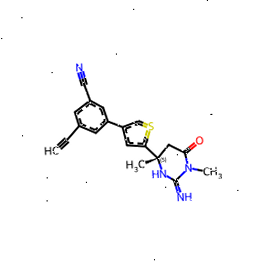 C#Cc1cc(C#N)cc(-c2csc([C@]3(C)CC(=O)N(C)C(=N)N3)c2)c1